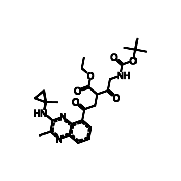 CCOC(=O)C(CC(=O)c1cccc2nc(C)c(NC3(C)CC3)nc12)C(=O)CNC(=O)OC(C)(C)C